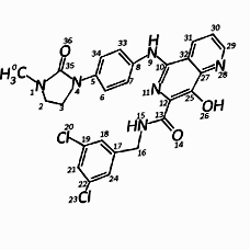 CN1CCN(c2ccc(Nc3nc(C(=O)NCc4cc(Cl)cc(Cl)c4)c(O)c4ncccc34)cc2)C1=O